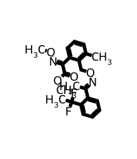 CO/N=C(/C(=O)OC)c1cccc(C)c1CO/N=C(\C)c1ccccc1C(C)(F)F